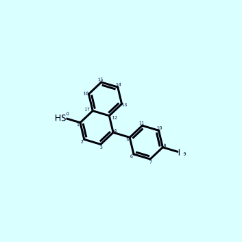 Sc1ccc(-c2ccc(I)cc2)c2ccccc12